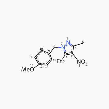 CCc1c([N+](=O)[O-])c(C)nn1Cc1ccc(OC)cc1